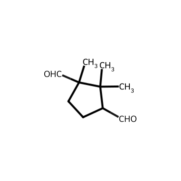 CC1(C=O)CCC(C=O)C1(C)C